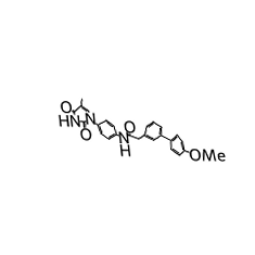 COc1ccc(-c2cccc(CC(=O)Nc3ccc(-n4cc(C)c(=O)[nH]c4=O)cc3)c2)cc1